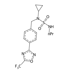 CCCNS(=O)(=O)N(Cc1ccc(-c2noc(C(F)(F)F)n2)cc1)C1CC1